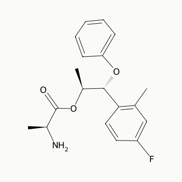 Cc1cc(F)ccc1[C@@H](Oc1ccccc1)[C@H](C)OC(=O)[C@H](C)N